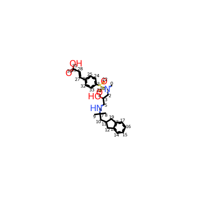 CN(CC(O)CNC(C)(C)CC1Cc2ccccc2C1)S(=O)(=O)c1ccc(C=CC(=O)O)cc1